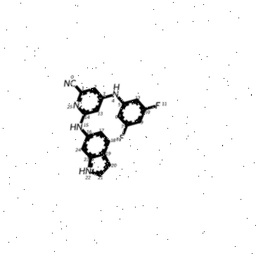 N#Cc1cc(Nc2cc(F)cc(F)c2)cc(Nc2ccc3cc[nH]c3c2)n1